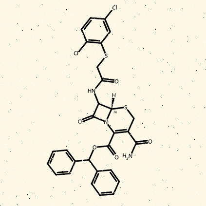 NC(=O)C1=C(C(=O)OC(c2ccccc2)c2ccccc2)N2C(=O)C(NC(=O)CSc3cc(Cl)ccc3Cl)[C@@H]2SC1